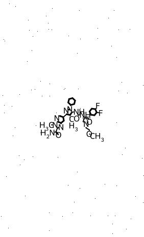 COCCN1C[C@@H](NC(=O)Nc2c(C)c(-c3cnc4c(c3)nc(C(N)=O)n4C)nn2-c2ccccc2)[C@H](c2ccc(F)c(F)c2)O1